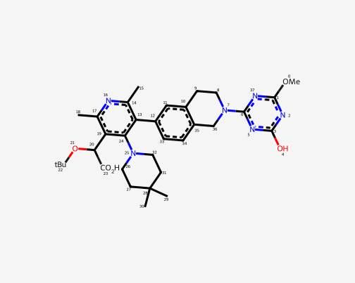 COc1nc(O)nc(N2CCc3cc(-c4c(C)nc(C)c(C(OC(C)(C)C)C(=O)O)c4N4CCC(C)(C)CC4)ccc3C2)n1